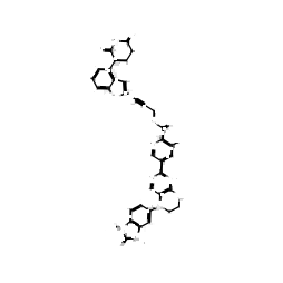 Cc1cc(-c2ncc3c(n2)OCCN3c2ccc3c(c2)n(C)c(=O)n3C)cnc1C(=O)NCC#Cc1cc2c(C3CCC(=O)NC3=O)cccc2o1